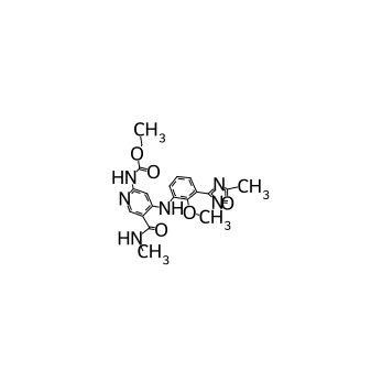 CCOC(=O)Nc1cc(Nc2cccc(-c3noc(C)n3)c2OC)c(C(=O)NC)cn1